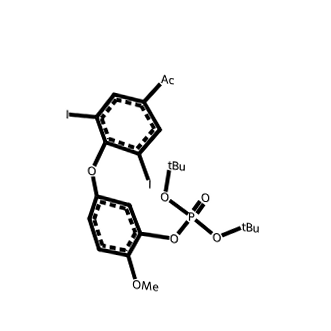 COc1ccc(Oc2c(I)cc(C(C)=O)cc2I)cc1OP(=O)(OC(C)(C)C)OC(C)(C)C